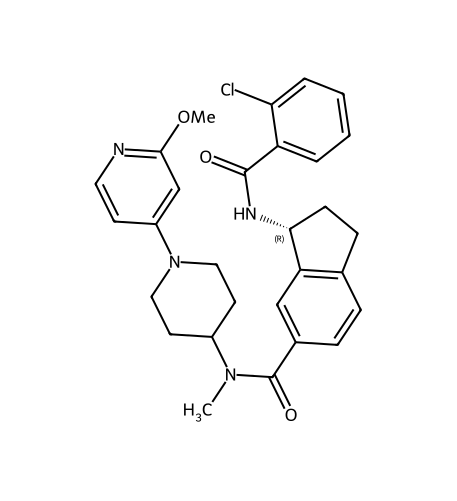 COc1cc(N2CCC(N(C)C(=O)c3ccc4c(c3)[C@H](NC(=O)c3ccccc3Cl)CC4)CC2)ccn1